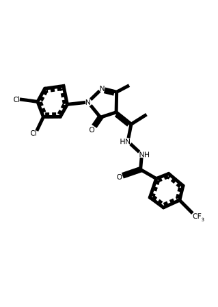 CC1=NN(c2ccc(Cl)c(Cl)c2)C(=O)/C1=C(/C)NNC(=O)c1ccc(C(F)(F)F)cc1